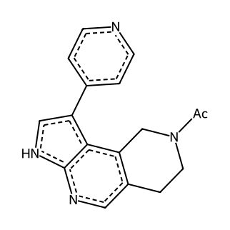 CC(=O)N1CCc2cnc3[nH]cc(-c4ccncc4)c3c2C1